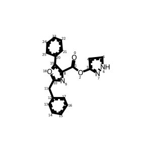 O=C(Oc1cc[nH]n1)c1nc(Cc2ccccc2)oc1-c1ccccc1